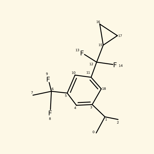 CC(C)c1cc(C(C)(F)F)cc(C(F)(F)C2CC2)c1